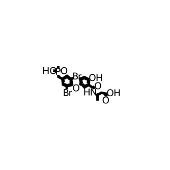 CC(CC(=O)O)NC(=O)c1cc(Oc2c(Br)cc(CP(C)(=O)O)cc2Br)ccc1O